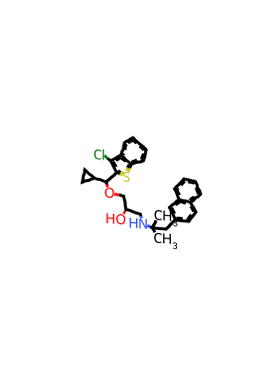 CC(C)(Cc1ccc2ccccc2c1)NC[C@@H](O)COC(c1sc2ccccc2c1Cl)C1CC1